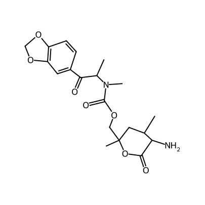 CC1CC(C)(COC(=O)N(C)C(C)C(=O)c2ccc3c(c2)OCO3)OC(=O)C1N